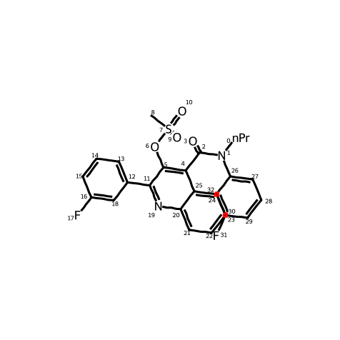 CCCN(C(=O)c1c(OS(C)(=O)=O)c(-c2cccc(F)c2)nc2ccccc12)c1cccc(F)c1